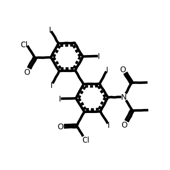 CC(=O)N(C(C)=O)c1c(I)c(C(=O)Cl)c(I)c(-c2c(I)cc(I)c(C(=O)Cl)c2I)c1I